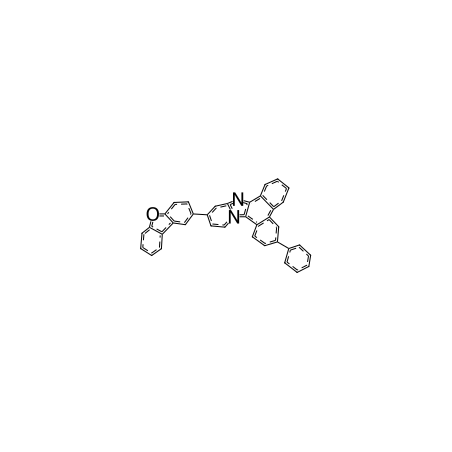 c1ccc(-c2ccc3c(c2)c2ccccc2c2nc4cc(-c5ccc6oc7ccccc7c6c5)ccn4c32)cc1